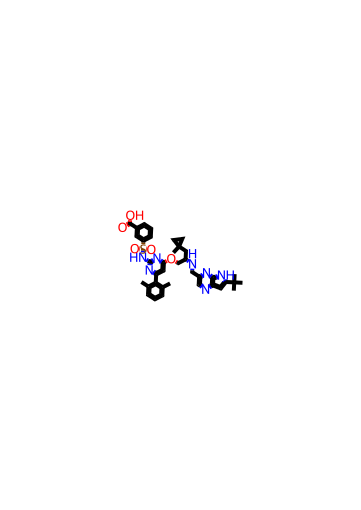 Cc1cccc(C)c1-c1cc(OCC(CC2(C)CC2)NCc2cnc3cc(C(C)(C)C)[nH]c3n2)nc(NS(=O)(=O)c2cccc(C(=O)O)c2)n1